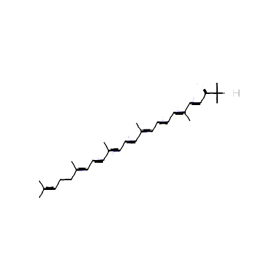 CC(C)=CCC/C(C)=C/C=C/C(C)=C/C=C/C(C)=C/C=C/C=C(C)/C=C/C(=O)C(C)(C)O